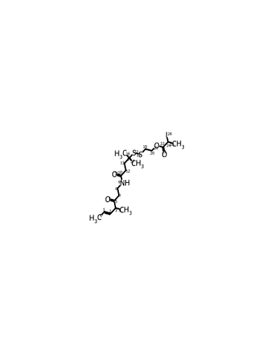 CC=CC(C)C(=O)CCNC(=O)CCC(C)(C)SSCCOC(=O)C(C)I